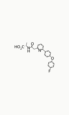 C[C@H](NC(=O)Cc1cccc(-c2ccc(Oc3ccc(F)cc3)cc2)n1)C(=O)O